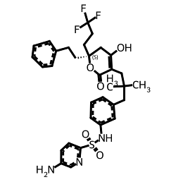 CC(C)(CC1=C(O)C[C@](CCc2ccccc2)(CCC(F)(F)F)OC1=O)Cc1cccc(NS(=O)(=O)c2ccc(N)cn2)c1